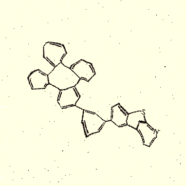 c1cc(-c2ccc3c(c2)-c2ccccc2-c2ccccc2-c2ccccc2-3)cc(-c2ccc3sc4ncccc4c3c2)c1